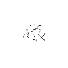 CCS(=O)(=O)OC(C(OS(=O)(=O)CC)C(F)(F)F)C(F)(F)F